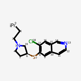 CC(C)CCN1CC[C@H](Sc2cc3ccncc3cc2Cl)C1